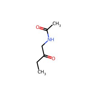 CCC(=O)CNC(C)=O